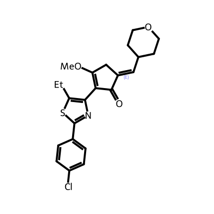 CCc1sc(-c2ccc(Cl)cc2)nc1C1=C(OC)C/C(=C\C2CCOCC2)C1=O